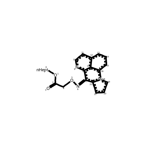 CCCCCCCOC(=O)CON=c1c2nccc3cccc(c32)n2cccc12